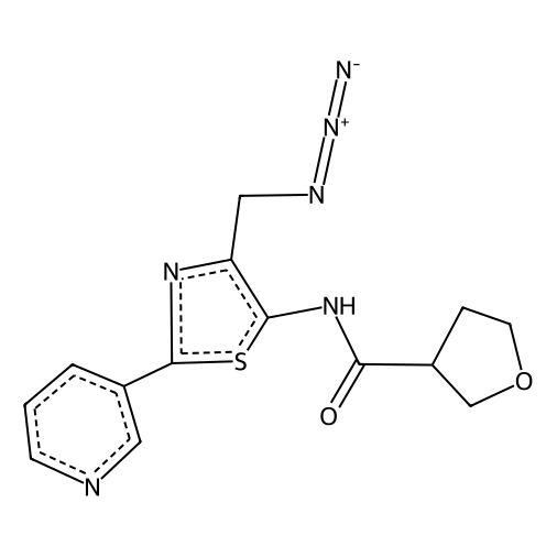 [N-]=[N+]=NCc1nc(-c2cccnc2)sc1NC(=O)C1CCOC1